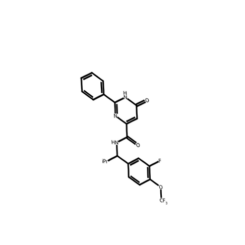 CC(C)C(NC(=O)c1cc(=O)[nH]c(-c2ccccc2)n1)c1ccc(OC(F)(F)F)c(F)c1